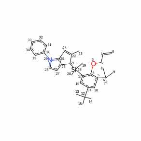 C=CCOc1c(C(C)(C)C)cc(C(C)(C)C)cc1[Si](C)(C)C1C(C)=Cc2c1ccn2-c1ccccc1